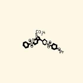 CC(C)Oc1ccc(S(=O)(=O)N2CCC(c3cn(CC(=O)O)c4nc(S(=O)(=O)c5ccccc5)ccc34)CC2)cc1